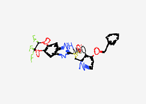 COc1c(OCc2ccccc2)ccnc1C[S+]([O-])c1nc2cc3c(cc2[nH]1)OC(F)C(F)(F)O3